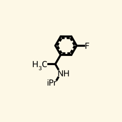 CC(C)NC(C)c1cccc(F)c1